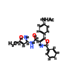 CC(=O)Nc1ccc(-c2oc(-c3ccccc3)nc2C(=O)Nc2cc(C)on2)cc1